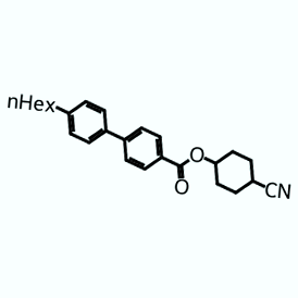 CCCCCCc1ccc(-c2ccc(C(=O)OC3CCC(C#N)CC3)cc2)cc1